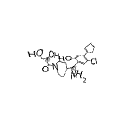 N[C@@H](c1cc(Cl)c(C2=CCCC2)cc1O)C1CCN(C(=O)[C@H](O)CO)CC1